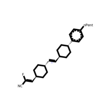 CCCCCc1ccc([C@H]2CC[C@H](/C=C/[C@H]3CC[C@H](C=C(F)C#N)CC3)CC2)cc1